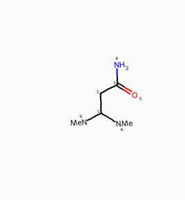 CNC(CC(N)=O)NC